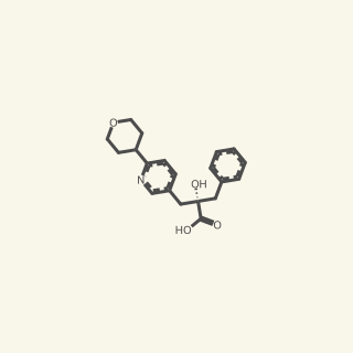 O=C(O)[C@](O)(Cc1ccccc1)Cc1ccc(C2CCOCC2)nc1